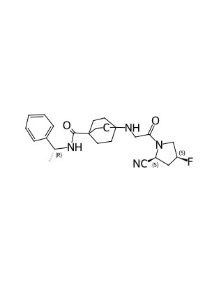 C[C@@H](NC(=O)C12CCC(NCC(=O)N3C[C@@H](F)C[C@H]3C#N)(CC1)CC2)c1ccccc1